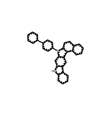 c1ccc(-c2ccc(-n3c4cc5[nH]c6ccccc6c5cc4c4c5ccccc5ccc43)cc2)cc1